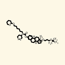 C[C@]12CC[C@@H]3c4ccc(OC(=O)N(CCCCCCOC5CCCCO5)C5CCSSC5)cc4CC[C@H]3[C@@H]1CC[C@@H]2OCCCOC(C(F)(F)F)(C(F)(F)F)C(F)(F)F